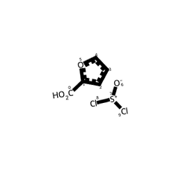 O=C(O)c1ccco1.[O-][S+](Cl)Cl